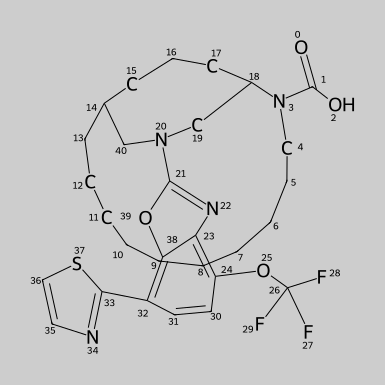 O=C(O)N1CCCCCCCCCCC2CCCC1CN(c1nc3c(OC(F)(F)F)ccc(-c4nccs4)c3o1)C2